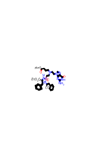 CCOC(=O)[C@H](Cc1ccccc1)NP(=O)(CCN(CCCC(=O)OC)CCn1cnc2c(=O)[nH]c(N)nc21)N[C@@H](Cc1ccccc1)C(=O)OCC